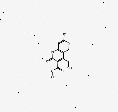 COC(=O)c1c(CO)c2ccc(Br)cc2[nH]c1=O